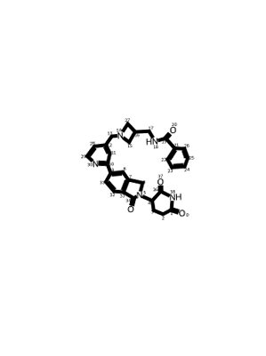 O=C1CCC(N2Cc3cc(-c4cc(CN5CC(CNC(=O)c6ccccc6)C5)ccn4)ccc3C2=O)C(=O)N1